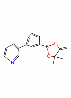 C=C1OB(c2cccc(-c3cccnc3)c2)OC1(C)C